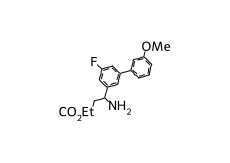 CCOC(=O)CC(N)c1cc(F)cc(-c2cccc(OC)c2)c1